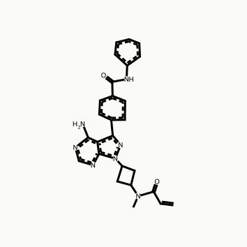 C=CC(=O)N(C)C1CC(n2nc(-c3ccc(C(=O)Nc4ccccc4)cc3)c3c(N)ncnc32)C1